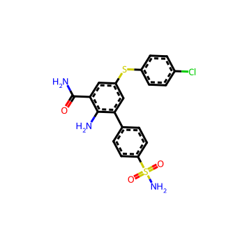 NC(=O)c1cc(Sc2ccc(Cl)cc2)cc(-c2ccc(S(N)(=O)=O)cc2)c1N